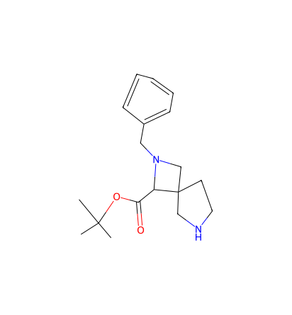 CC(C)(C)OC(=O)C1N(Cc2ccccc2)CC12CCNC2